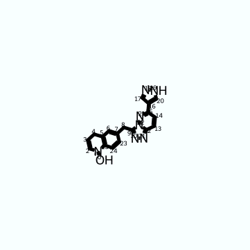 ON1C=CCc2cc(Cc3nnc4ccc(-c5cn[nH]c5)nn34)ccc21